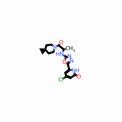 C[C@@H](Nc1nnc(-c2cc(Cl)cc(=O)[nH]2)o1)C(=O)N1CCC2(CC1)CC2